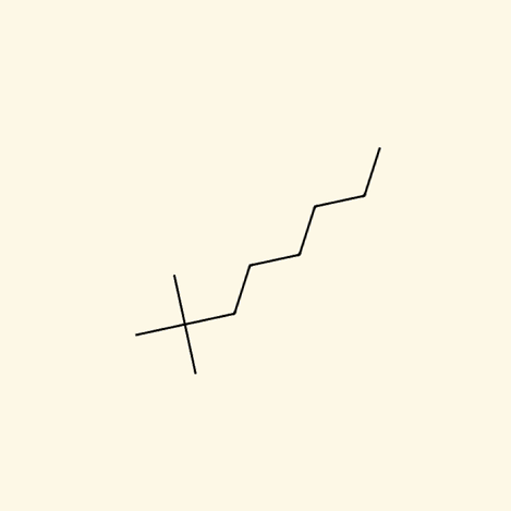 CCCCCCC(C)(C)C